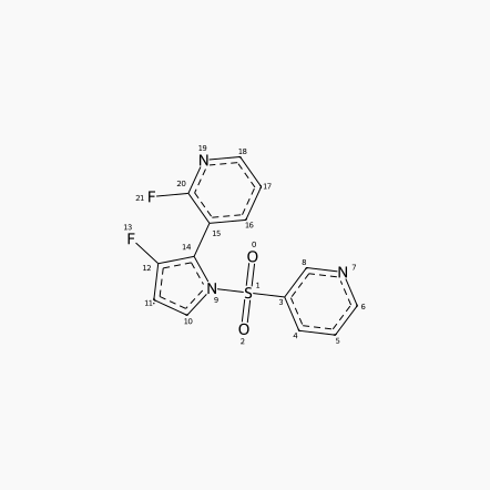 O=S(=O)(c1cccnc1)n1c[c]c(F)c1-c1cccnc1F